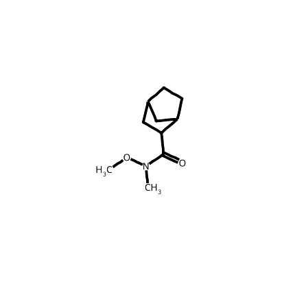 CON(C)C(=O)C1CC2CCC1C2